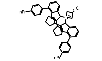 CCCc1ccc(-c2cccc3c2C=C(C2CCCC2)[CH]3[Ti+2]2([CH]3C(C4CCCC4)=Cc4c(-c5ccc(CCC)cc5)cccc43)[CH2]C[CH2]2)cc1.[Cl-].[Cl-]